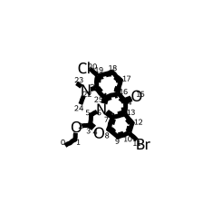 CCOC(=O)Cn1c2ccc(Br)cc2c(=O)c2ccc(Cl)c(N(C)C)c21